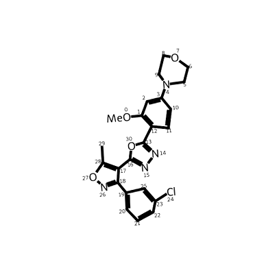 COc1cc(N2CCOCC2)ccc1-c1nnc(-c2c(-c3cccc(Cl)c3)noc2C)o1